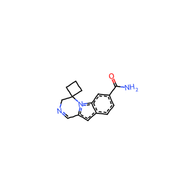 NC(=O)c1ccc2cc3n(c2c1)C1(CCC1)CN=C3